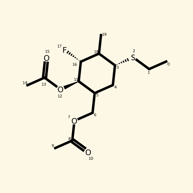 CCS[C@@H]1CC(COC(C)=O)[C@@H](OC(C)=O)[C@H](F)C1C